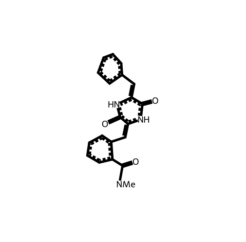 CNC(=O)c1ccccc1C=c1[nH]c(=O)c(=Cc2ccccc2)[nH]c1=O